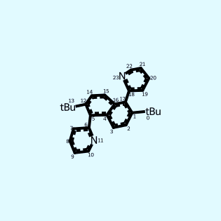 CC(C)(C)c1ccc2c(-c3ccccn3)c(C(C)(C)C)ccc2c1-c1ccccn1